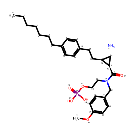 CCCCCCCc1ccc(CC[C@H]2C[C@H]2C(=O)N(CCOP(=O)(O)O)Cc2ccc(OC)cc2)cc1.N